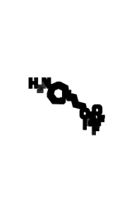 N[C@H]1CCCN(CCCOC(=O)C(F)(F)F)CC1